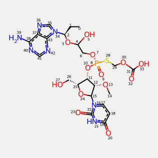 CC[C@@H](OC(O)CO[P@](=O)(O[C@@H]1[C@H](OC)C(n2ccc(=O)[nH]c2=O)O[C@@H]1CO)SCOC(=O)O)n1cnc2c(N)ncnc21